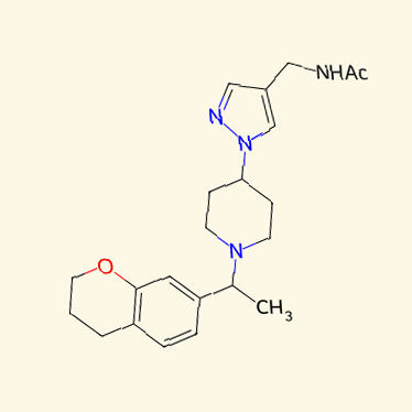 CC(=O)NCc1cnn(C2CCN(C(C)c3ccc4c(c3)OCCC4)CC2)c1